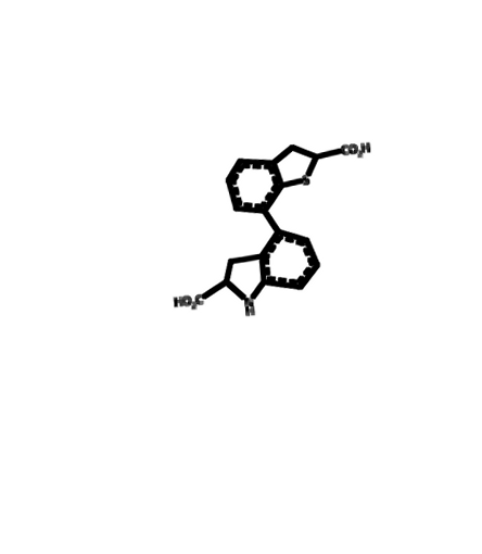 O=C(O)C1Cc2c(cccc2-c2cccc3c2SC(C(=O)O)C3)N1